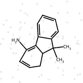 CC1(C)c2ccccc2C2=C(N)C=CCC21